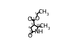 CCOC(=O)C1CC(=O)NC1C